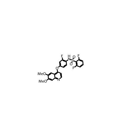 COc1cc2nccc(Oc3ccc(NS(=O)(=O)c4c(F)cccc4F)c(F)c3)c2cc1OC